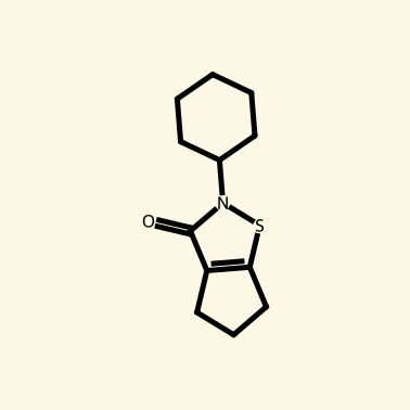 O=c1c2c(sn1C1CCCCC1)CCC2